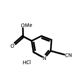 COC(=O)c1ccc(C#N)nc1.Cl